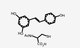 CC(=O)NC(CS)C(=O)O.Oc1ccc(C=Cc2cc(O)cc(O)c2)cc1